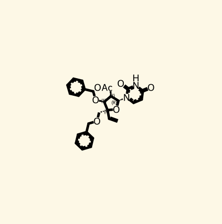 C=C[C@]1(COCc2ccccc2)O[C@@H](n2ccc(=O)[nH]c2=O)[C@H](OC(C)=O)[C@@H]1OCc1ccccc1